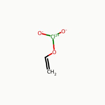 C=CO[Cl+2]([O-])[O-]